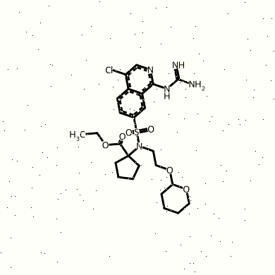 CCOC(=O)C1(N(CCOC2CCCCO2)S(=O)(=O)c2ccc3c(Cl)cnc(NC(=N)N)c3c2)CCCC1